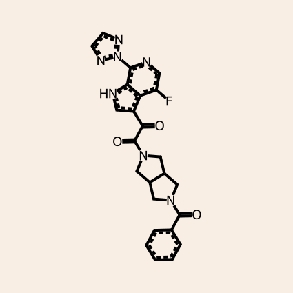 O=C(C(=O)N1CC2CN(C(=O)c3ccccc3)CC2C1)c1c[nH]c2c(-n3nccn3)ncc(F)c12